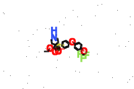 CCOC(=O)C1([S@+]([O-])c2ccc(Oc3ccc(OC(F)(F)F)cc3)cc2)CCNCC1